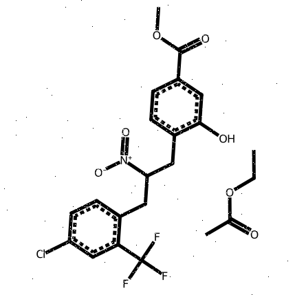 CCOC(C)=O.COC(=O)c1ccc(CC(Cc2ccc(Cl)cc2C(F)(F)F)[N+](=O)[O-])c(O)c1